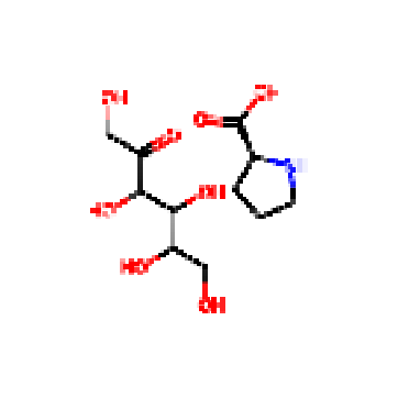 O=C(CO)C(O)C(O)C(O)CO.O=C(O)[C@@H]1CCCN1